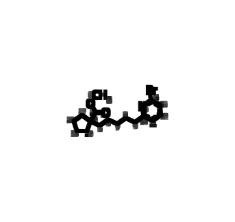 COC(=O)C1(CCCCCc2cccc(Br)n2)CCCC1